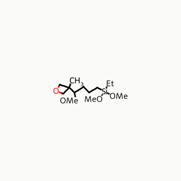 CC[Si](CCCC(OC)C1(C)COC1)(OC)OC